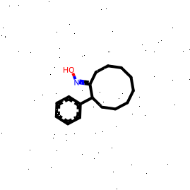 ON=C1CCCCCCCCC1c1ccccc1